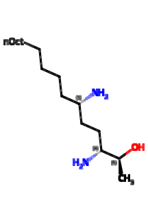 CCCCCCCCCCCC[C@H](N)CC[C@@H](N)[C@H](C)O